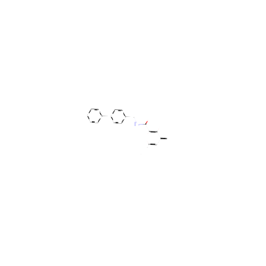 C=C1C=C(C)OC(C(=O)NCc2ccc(-c3ccccc3)cc2)=C1O